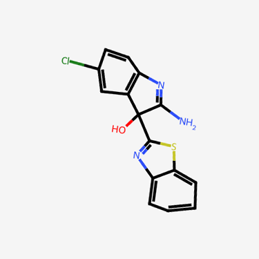 NC1=Nc2ccc(Cl)cc2C1(O)c1nc2ccccc2s1